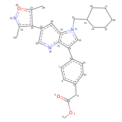 COC(=O)Cc1ccc(-c2cn(CC3CCCCC3)c3cc(-c4c(C)noc4C)cnc23)cc1